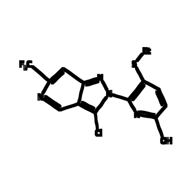 CCSc1ccc(O)nc1-n1nc2cc(C(F)(F)F)ncc2c1Cl